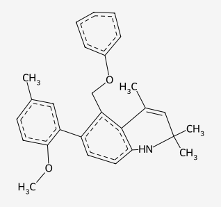 COc1ccc(C)cc1-c1ccc2c(c1COc1ccccc1)C(C)=CC(C)(C)N2